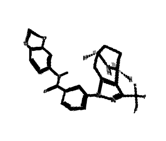 CN(C(=O)c1cccc(-n2nc(C(F)(F)F)c3c2C[C@H]2CC[C@@H]3N2)c1)c1ccc2c(c1)OCO2